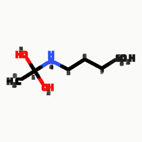 CC(O)(O)NCCCS(=O)(=O)O